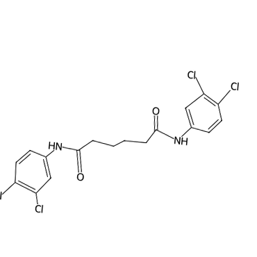 O=C(CCCCC(=O)Nc1ccc(Cl)c(Cl)c1)Nc1ccc(Cl)c(Cl)c1